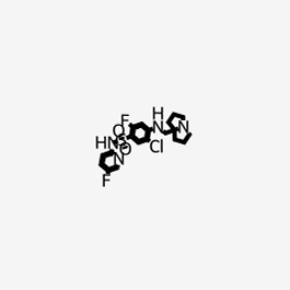 O=S(=O)(Nc1ccc(F)cn1)c1cc(Cl)c(NCC23CCCN2CCC3)cc1F